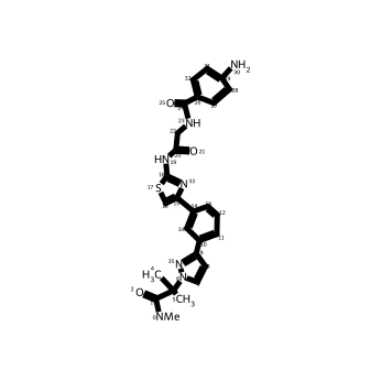 CNC(=O)C(C)(C)n1ccc(-c2cccc(-c3csc(NC(=O)CNC(=O)c4ccc(N)cc4)n3)c2)n1